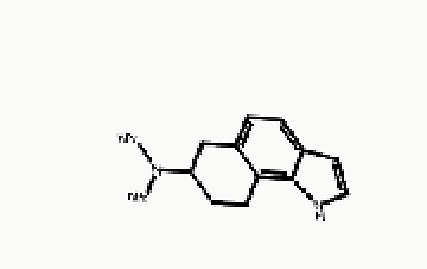 CCCN(CCC)C1CCc2c(ccc3cc[nH]c23)C1